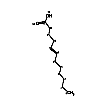 CCCCCCC=CCCCC(=O)O